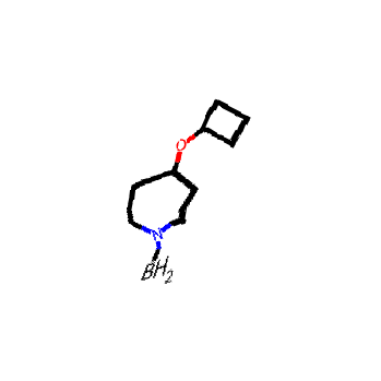 BN1CCC(OC2CCC2)CC1